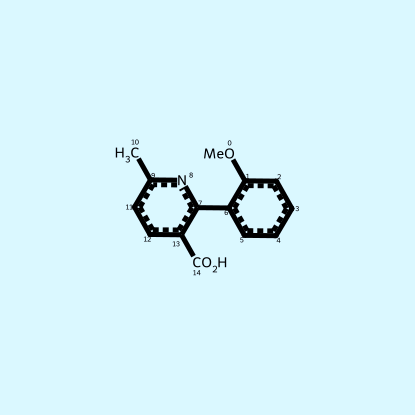 COc1ccccc1-c1nc(C)ccc1C(=O)O